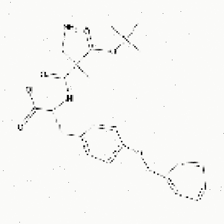 CC(C)(C)OC(=O)C(C)(CN)C(=O)N[C@H](Cc1ccc(OCc2ccccc2)cc1)C(=O)O